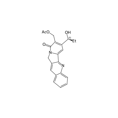 CC[C@H](O)c1cc2n(c(=O)c1COC(C)=O)Cc1cc3ccccc3nc1-2